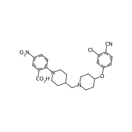 N#Cc1ccc(OC2CCN(CC3CCN(c4ccc([N+](=O)[O-])cc4C(=O)O)CC3)CC2)cc1Cl